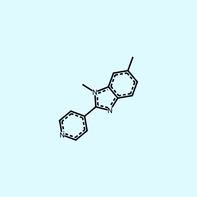 Cc1ccc2nc(-c3ccncc3)n(C)c2c1